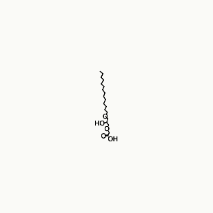 CCCCCCCCCCCCCCOCC(O)COCC(=O)O